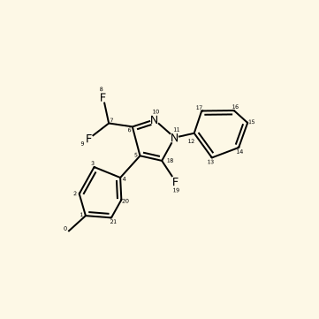 Cc1ccc(-c2c(C(F)F)nn(-c3ccccc3)c2F)cc1